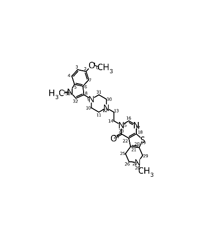 COc1ccc2c(c1)c(N1CCN(CCn3cnc4sc5c(c4c3=O)CCN(C)C5)CC1)cn2C